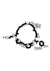 CO[C@@H]1C[C@H](C[C@@H](C)[C@@H]2CC(=O)[C@H](C)/C=C(\C)[C@@H](O)[C@@H](OC)C(=O)[C@H](C)C[C@H](C)/C=C/C=C/C=C(\C)C(OCCCO)C[C@@H]3CC[C@@H](C)[C@@](O)(O3)C(=O)C(=O)N3CCCC[C@H]3C(=O)O2)CC[C@H]1O